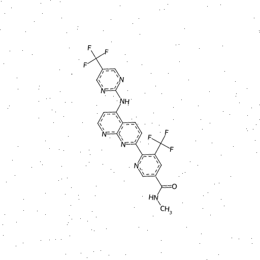 CNC(=O)c1cnc(-c2ccc3c(Nc4ncc(C(F)(F)F)cn4)ccnc3n2)c(C(F)(F)F)c1